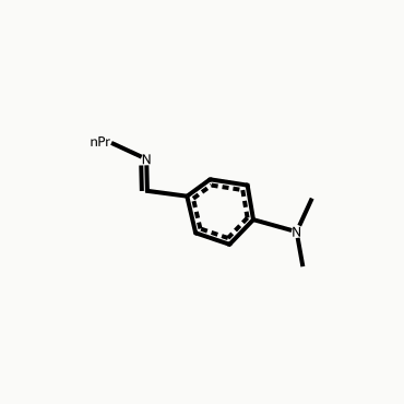 CCCN=Cc1ccc(N(C)C)cc1